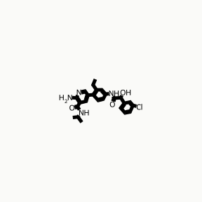 CCc1cc(NC(=O)C(O)c2cccc(Cl)c2)ccc1-c1cnc(N)c(C(=O)NC(C)C)c1